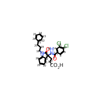 O=C(O)CCC1(NC(=O)c2ccc(Cl)c(Cl)c2)C(=O)N(CCCc2ccccc2)c2ccccc21